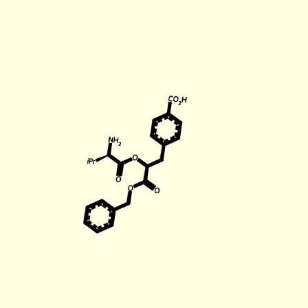 CC(C)[C@@H](N)C(=O)OC(Cc1ccc(C(=O)O)cc1)C(=O)OCc1ccccc1